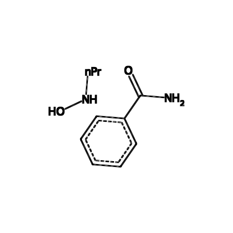 CCCNO.NC(=O)c1ccccc1